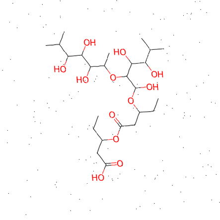 CCC(CC(=O)O)OC(=O)CC(CC)OC(O)C(OC(C)C(O)C(O)C(O)C(C)C)C(O)C(O)C(C)C